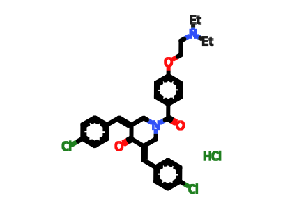 CCN(CC)CCOc1ccc(C(=O)N2C/C(=C/c3ccc(Cl)cc3)C(=O)/C(=C/c3ccc(Cl)cc3)C2)cc1.Cl